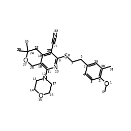 COc1ccc(CCSc2nc(N3CCOCC3)c3c(c2C#N)CC(C)(C)OC3)cc1C